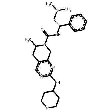 CC1Cc2cnc(NC3CCOCC3)nc2CN1C(=O)N[C@H](CN(C)C)c1ccccc1